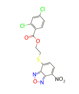 O=C(OCCSc1ccc([N+](=O)[O-])c2nonc12)c1ccc(Cl)cc1Cl